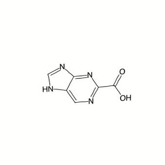 O=C(O)c1ncc2[nH]cnc2n1